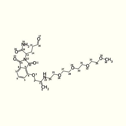 C=C(COc1cccc2c1C(=O)N(C(CCC=O)C(N)=O)C2=O)NCCOCCOCCOCCOC